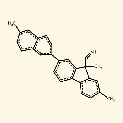 Cc1ccc2c(c1)C(C)(C=N)c1cc(-c3ccc4cc(C)ccc4c3)ccc1-2